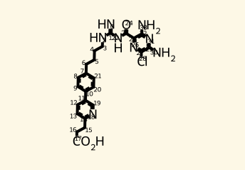 N=C(NCCCCc1ccc(-c2ccc(CCC(=O)O)nc2)cc1)NC(=O)c1nc(Cl)c(N)nc1N